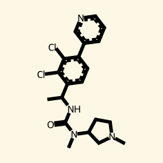 CC(NC(=O)N(C)C1CCN(C)C1)c1ccc(-c2cccnc2)c(Cl)c1Cl